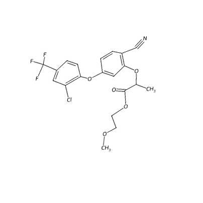 COCCOC(=O)C(C)Oc1cc(Oc2ccc(C(F)(F)F)cc2Cl)ccc1C#N